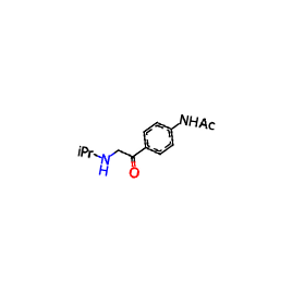 CC(=O)Nc1ccc(C(=O)CNC(C)C)cc1